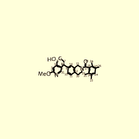 COc1cc(C)c([C@@H](CC(=O)O)c2ccc3c(c2)CN(C(=O)c2c(C)c(C)cc(C)c2C)CC3)cn1